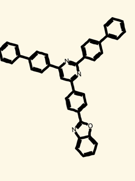 c1ccc(-c2ccc(-c3cc(-c4ccc(-c5nc6ccccc6o5)cc4)nc(-c4ccc(-c5ccccc5)cc4)n3)cc2)cc1